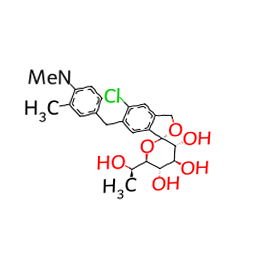 CNc1ccc(Cc2cc3c(cc2Cl)CO[C@]32O[C@H]([C@@H](C)O)[C@@H](O)[C@H](O)[C@H]2O)cc1C